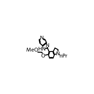 CCCN1CCc2c1ccc(OCCOC)c2-c1nc2cnccc2[nH]1